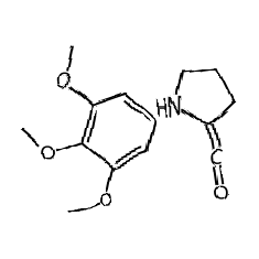 COc1cccc(OC)c1OC.O=C=C1CCCN1